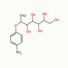 O=CC(Oc1ccc([N+](=O)[O-])cc1)C(O)C(O)C(O)C(O)CO